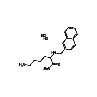 CNC(=O)C(CCCCN)NCc1ccc2ccccc2c1.Cl.Cl